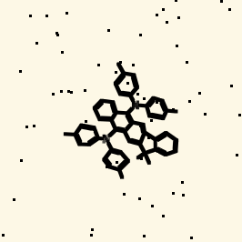 Cc1ccc(N(c2ccc(C)cc2)c2c3ccccc3c(N(c3ccc(C)cc3)c3ccc(C)cc3)c3cc4c(cc23)-c2ccccc2C4(C)C)cc1